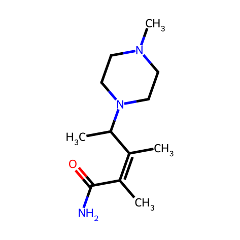 CC(C(N)=O)=C(C)C(C)N1CCN(C)CC1